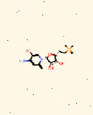 C=C1C=C(N)C(Br)=CN1[C@@H]1O[C@H](CCP(=C)(C)C)[C@@H](O)[C@H]1O